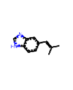 CC(C)=Cc1ccc2[nH]cnc2c1